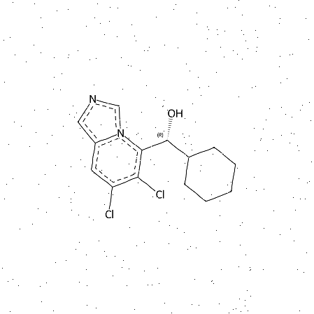 O[C@@H](c1c(Cl)c(Cl)cc2cncn12)C1CCCCC1